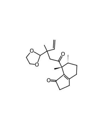 C=CC(C)(CC(=O)[C@@]1(C)C2=C(CCC2=O)CC[C@H]1C)C1OCCO1